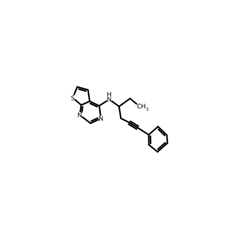 CCC(CC#Cc1ccccc1)Nc1ncnc2sccc12